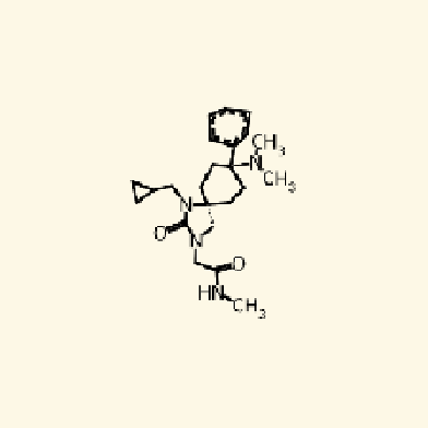 CNC(=O)CN1C[C@]2(CC[C@](c3ccccc3)(N(C)C)CC2)N(CC2CC2)C1=O